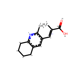 C/C(=C\c1cc2c(nc1C)CCCC2)C(=O)O